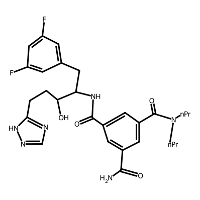 CCCN(CCC)C(=O)c1cc(C(N)=O)cc(C(=O)NC(Cc2cc(F)cc(F)c2)C(O)CCc2ncn[nH]2)c1